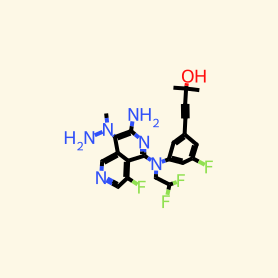 CN(N)c1c(N)nc(N(CC(F)F)c2cc(F)cc(C#CC(C)(C)O)c2)c2c(F)cncc12